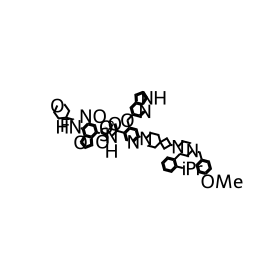 COc1ccc(CN2CCN(C3CC4(CCN(c5cc(Oc6cnc7[nH]ccc7c6)c(C(=O)NS(=O)(=O)c6cc([N+](=O)[O-])c(NCC7(F)CCOCC7)c7occc67)cn5)CC4)C3)C(c3ccccc3C(C)C)C2)cc1